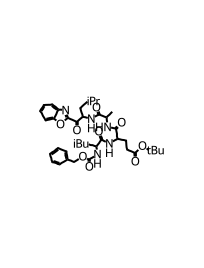 CCC(C)C(NC(=O)OCc1ccccc1)C(=O)NC(CCC(=O)OC(C)(C)C)C(=O)NC(C)C(=O)NC(CC(C)C)C(=O)c1nc2ccccc2o1